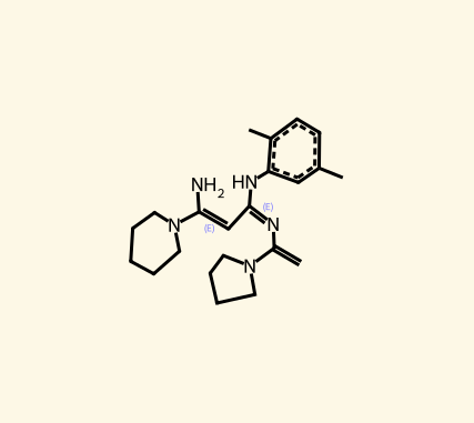 C=C(/N=C(\C=C(/N)N1CCCCC1)Nc1cc(C)ccc1C)N1CCCC1